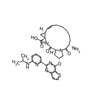 CC(C)Nc1cccc(-c2nc(O[C@@H]3C[C@H]4C(=O)N[C@]5(C(=O)O)C[C@H]5C=CCCCCC[C@H](N)C(=O)N4C3)c3sccc3n2)n1